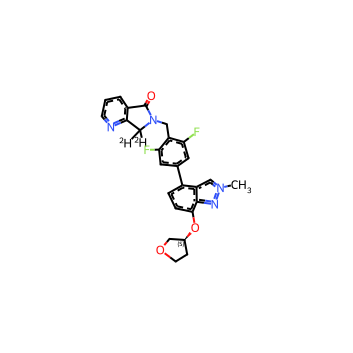 [2H]C1([2H])c2ncccc2C(=O)N1Cc1c(F)cc(-c2ccc(O[C@H]3CCOC3)c3nn(C)cc23)cc1F